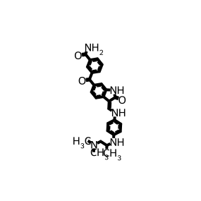 CC(CN(C)C)Nc1ccc(NC=C2C(=O)Nc3cc(C(=O)c4cccc(C(N)=O)c4)ccc32)cc1